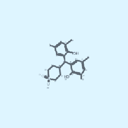 Cc1cc(C)c(O)c(C(c2cc(C)cc(C)c2O)C2CCS(=O)(=O)CC2)c1